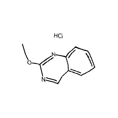 COc1ncc2ccccc2n1.Cl